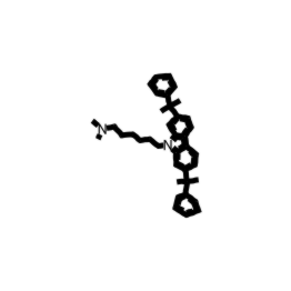 CN(C)CCCCCCn1c2cc(C(C)(C)c3ccccc3)ccc2c2ccc(C(C)(C)c3ccccc3)cc21